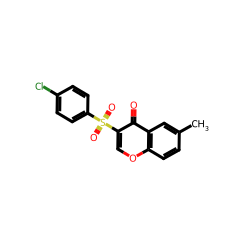 Cc1ccc2occ(S(=O)(=O)c3ccc(Cl)cc3)c(=O)c2c1